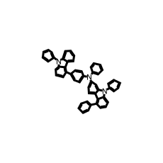 c1ccc(-c2cccc3c2c2ccc(N(c4ccccc4)c4ccc(-c5cccc6c5c5ccccc5n6-c5ccccc5)cc4)cc2n3-c2ccccc2)cc1